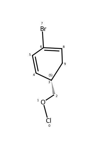 ClOC[C@@H]1C=CC(Br)=CC1